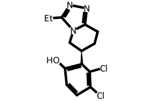 CCc1nnc2n1C[C@H](c1c(O)ccc(Cl)c1Cl)CC2